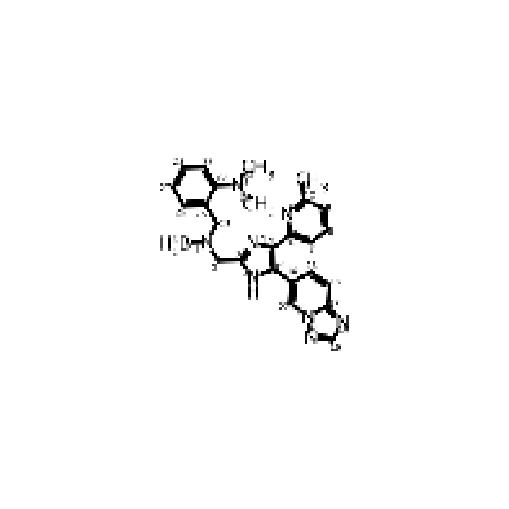 BN(Cc1nc(-c2cccc(C)n2)c(-c2ccc3ncnn3c2)[nH]1)Cc1ccccc1N(C)C